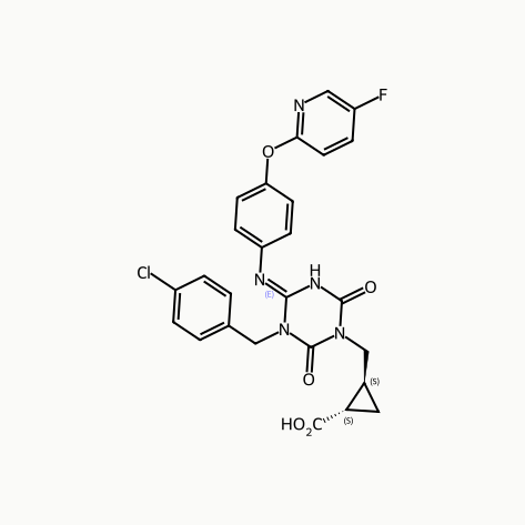 O=C(O)[C@H]1C[C@@H]1Cn1c(=O)[nH]/c(=N\c2ccc(Oc3ccc(F)cn3)cc2)n(Cc2ccc(Cl)cc2)c1=O